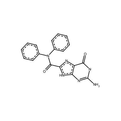 NC1=Nc2[nH]c(C(=O)N(c3ccccc3)c3ccccc3)nc2C(=O)[N]1